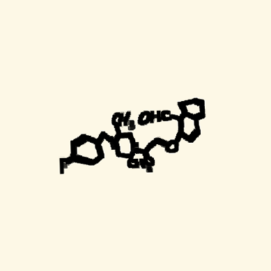 CC1CN(C(=O)COc2ccc3ccccc3c2C=O)C(C)CN1Cc1ccc(F)cc1